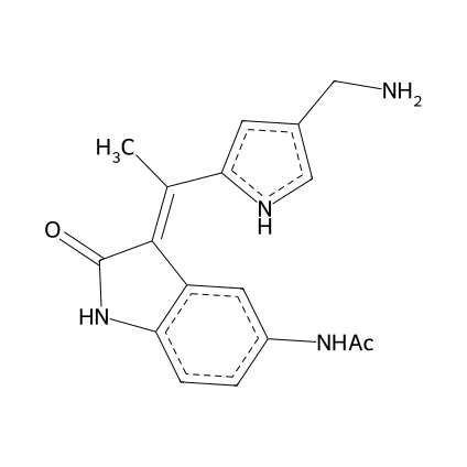 CC(=O)Nc1ccc2c(c1)C(=C(C)c1cc(CN)c[nH]1)C(=O)N2